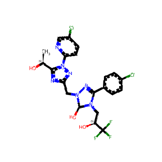 C[C@H](O)c1nc(CN2N=C(c3ccc(Cl)cc3)N(C[C@H](O)C(F)(F)F)C2O)nn1-c1ccc(Cl)cn1